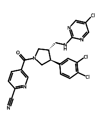 N#Cc1ccc(C(=O)N2C[C@H](CNc3ncc(Cl)cn3)[C@@H](c3ccc(Cl)c(Cl)c3)C2)cn1